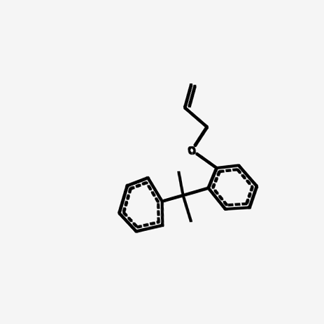 C=CCOc1ccccc1C(C)(C)c1ccccc1